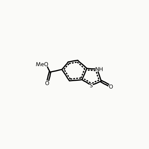 COC(=O)c1ccc2[nH]c(=O)sc2c1